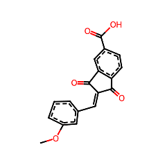 COc1cccc(C=C2C(=O)c3ccc(C(=O)O)cc3C2=O)c1